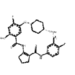 COc1cc(F)c(O[C@H]2CC[C@@H](C(=O)O)CC2)cc1C(=O)NC1=C(C(=O)Nc2ccc(F)c(C(F)(F)F)c2)CCC1